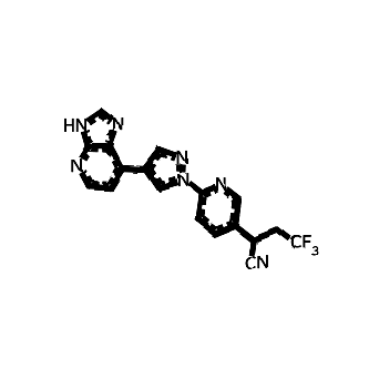 N#CC(CC(F)(F)F)c1ccc(-n2cc(-c3ccnc4[nH]cnc34)cn2)nc1